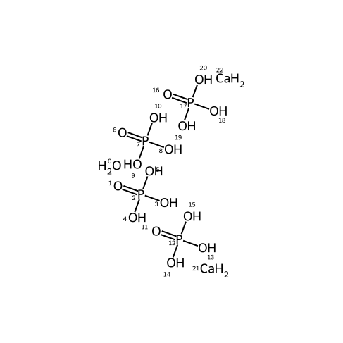 O.O=P(O)(O)O.O=P(O)(O)O.O=P(O)(O)O.O=P(O)(O)O.[CaH2].[CaH2]